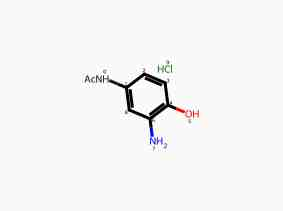 CC(=O)Nc1ccc(O)c(N)c1.Cl